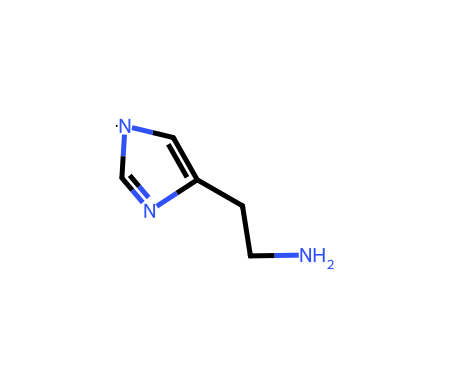 NCCC1=C[N]C=N1